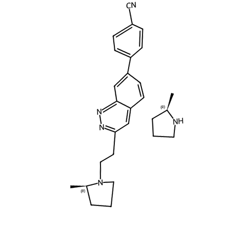 C[C@@H]1CCCN1.C[C@@H]1CCCN1CCc1cc2ccc(-c3ccc(C#N)cc3)cc2nn1